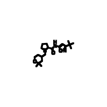 CC1(C)CC(CN2CCC[C@H]2C(=O)Nc2cc(C(C)(C)C)no2)CCO1